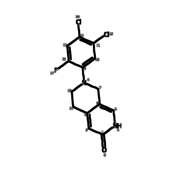 O=c1cc2c(c[nH]1)CN(c1cc(Cl)c(Cl)cc1F)CC2